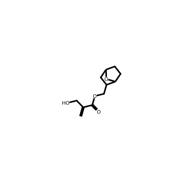 C=C(CO)C(=O)OCC1CC2CCC1O2